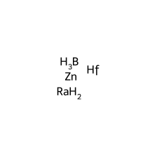 B.[Hf].[RaH2].[Zn]